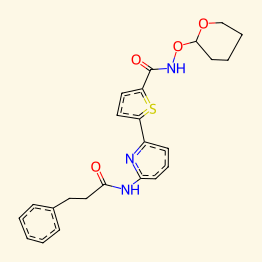 O=C(CCc1ccccc1)Nc1cccc(-c2ccc(C(=O)NOC3CCCCO3)s2)n1